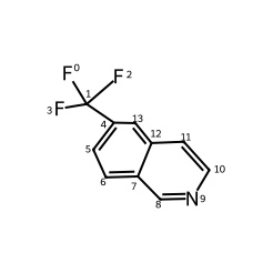 FC(F)(F)c1ccc2cnccc2c1